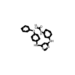 CC(=O)Nc1cccc(Nc2cc(Nc3ccc(Oc4ccccc4)cc3)ncn2)c1